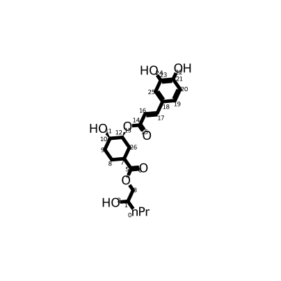 CCCC(O)COC(=O)C1CC[C@@H](O)[C@H](OC(=O)/C=C/c2ccc(O)c(O)c2)C1